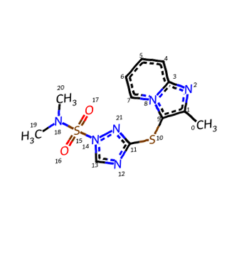 Cc1nc2ccccn2c1Sc1ncn(S(=O)(=O)N(C)C)n1